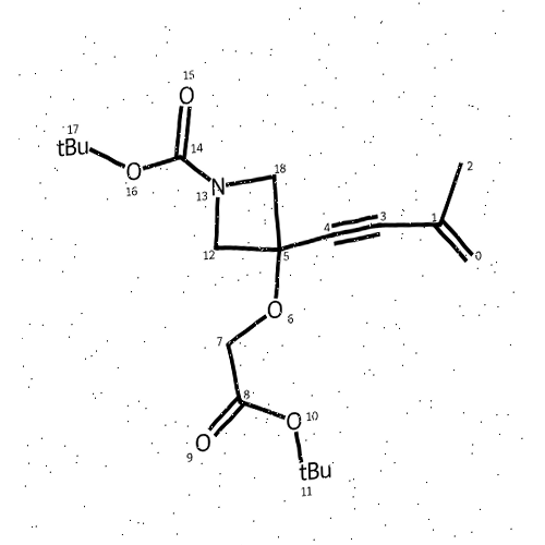 C=C(C)C#CC1(OCC(=O)OC(C)(C)C)CN(C(=O)OC(C)(C)C)C1